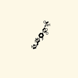 CC(=O)NC[C@H]1CN(c2ccc(-n3cc(Cn4ccnc4)nn3)c(F)c2)C(=O)O1